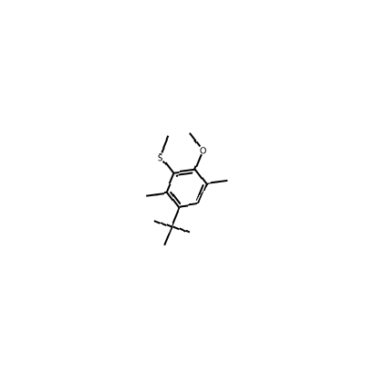 COc1c(C)cc(C(C)(C)C)c(C)c1SC